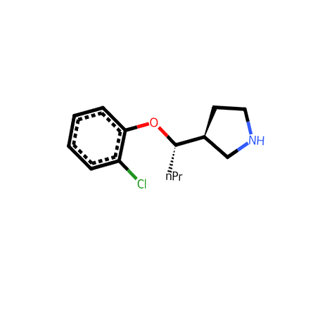 CCC[C@H](Oc1ccccc1Cl)[C@H]1CCNC1